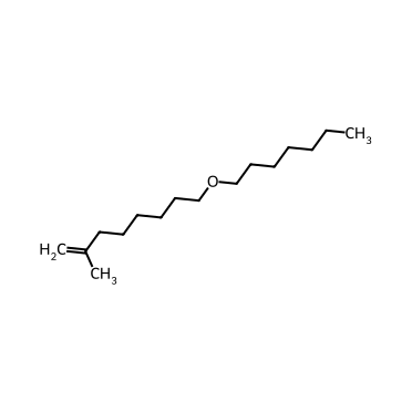 C=C(C)CCCCCCOCCCCCCC